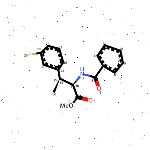 COC(=O)[C@H](NC(=O)c1ccccc1)[C@@H](C)c1cccc(F)c1